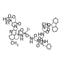 CC[C@@]1(O)C(=O)OCc2c1cc1n(c2=O)Cc2c-1nc1ccc(C)c3c1c2[C@](F)(NC(=O)[C@H](OCNC(=O)CNC(=O)[C@H](Cc1ccccc1)NC(=O)CNC(=O)CN(C)C(=O)OC1c2ccccc2-c2ccccc21)C1CC1)CC3